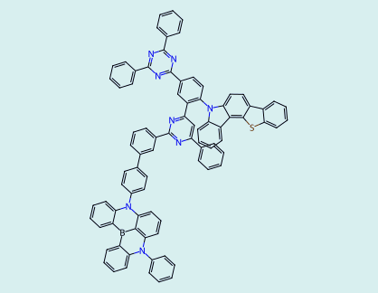 c1ccc(-c2cc(-c3cc(-c4nc(-c5ccccc5)nc(-c5ccccc5)n4)ccc3-n3c4ccccc4c4c5sc6ccccc6c5ccc43)nc(-c3cccc(-c4ccc(N5c6ccccc6B6c7ccccc7N(c7ccccc7)c7cccc5c76)cc4)c3)n2)cc1